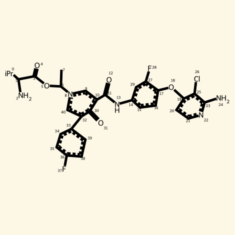 CC(C)C(N)C(=O)OC(C)n1cc(C(=O)Nc2ccc(Oc3ccnc(N)c3Cl)c(F)c2)c(=O)c(-c2ccc(F)cc2)c1